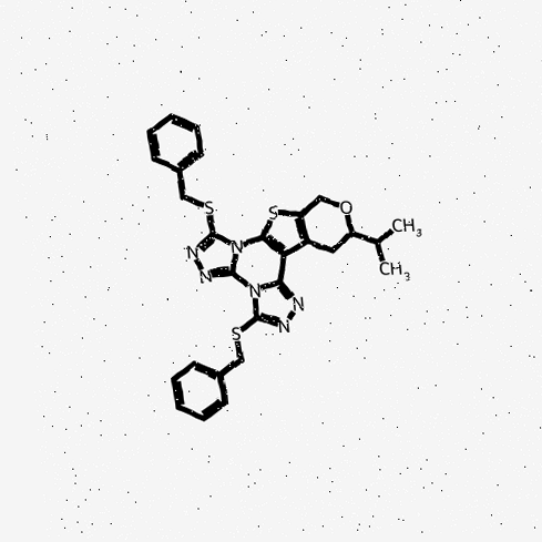 CC(C)C1Cc2c(sc3c2c2nnc(SCc4ccccc4)n2c2nnc(SCc4ccccc4)n32)CO1